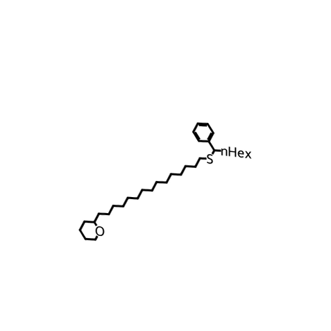 CCCCCCC(SCCCCCCCCCCCCCCCC1CCCCO1)c1ccccc1